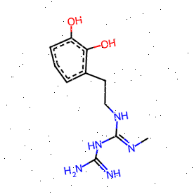 C/N=C(\NCCc1cccc(O)c1O)NC(=N)N